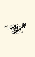 CC(=O)OC(CN(C)C(=O)c1ccc(Cn2ccnn2)cc1)c1cc(=O)oc2ccccc12